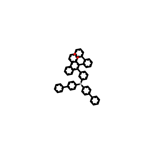 c1ccc(-c2ccc(N(c3ccc(-c4ccccc4)cc3)c3cccc(-c4c(-c5ccccc5-c5ccccc5)c5ccccc5c5ccccc45)c3)cc2)cc1